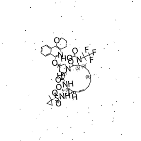 C[C@@H]1CCC=C[C@@H]2C[C@@]2(C(=O)NS(=O)(=O)C2(C)CC2)NC(=O)[C@@H]2C[C@@H](Oc3nc4c(c5ccccc35)OCCC4)CN2C(=O)[C@@H](N(C(=O)O)C(C)(C)C(F)(F)F)[C@H](C)C1